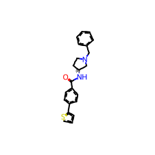 O=C(N[C@@H]1CCN(Cc2ccccc2)C1)c1ccc(-c2cccs2)cc1